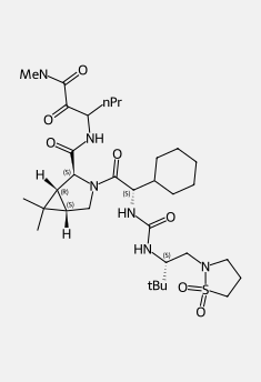 CCCC(NC(=O)[C@@H]1[C@@H]2[C@H](CN1C(=O)[C@@H](NC(=O)N[C@H](CN1CCCS1(=O)=O)C(C)(C)C)C1CCCCC1)C2(C)C)C(=O)C(=O)NC